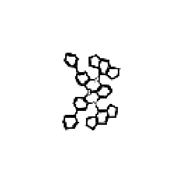 c1ccc(-c2ccc3c(c2)N(c2c4c(cc5c2CCC5)CCC4)c2cccc4c2B3c2ccc(-c3ccccc3)cc2N4c2c3c(cc4c2CCC4)CCC3)cc1